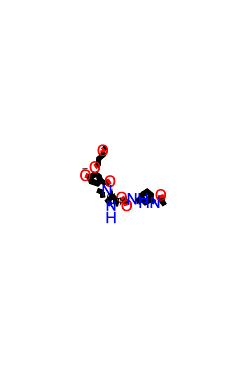 COCCCOc1cc(C(=O)N(C[C@@H]2CNC[C@H]2OC(=O)NCc2cccc(NC(C)=O)c2)C(C)C)ccc1OC